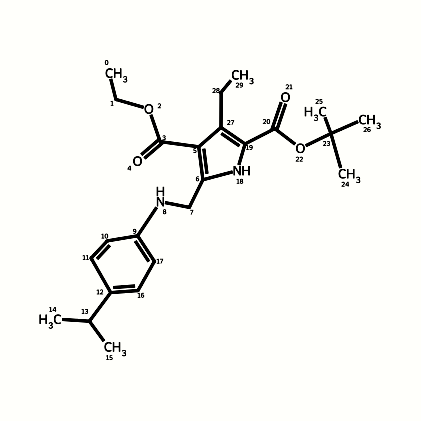 CCOC(=O)c1c(CNc2ccc(C(C)C)cc2)[nH]c(C(=O)OC(C)(C)C)c1CC